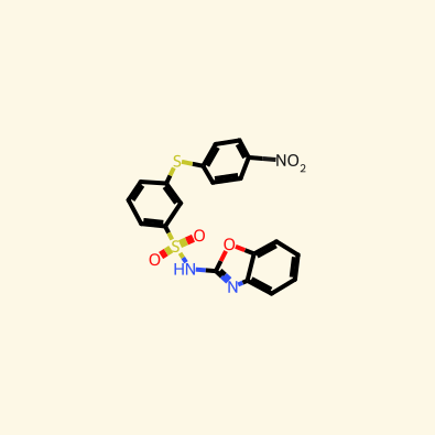 O=[N+]([O-])c1ccc(Sc2cccc(S(=O)(=O)Nc3nc4ccccc4o3)c2)cc1